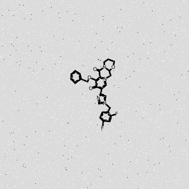 C[C@@H]1CCOC2Cn3cc(-c4cn(Cc5ccc(F)cc5F)cn4)c(=O)c(OCc4ccccc4)c3C(=O)N21